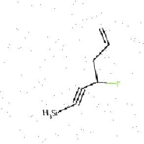 C=CC[C](F)C#C[SiH3]